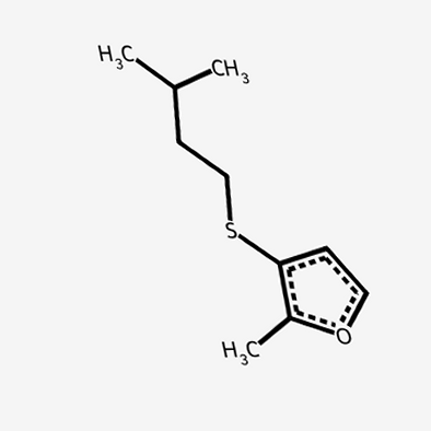 Cc1occc1SCCC(C)C